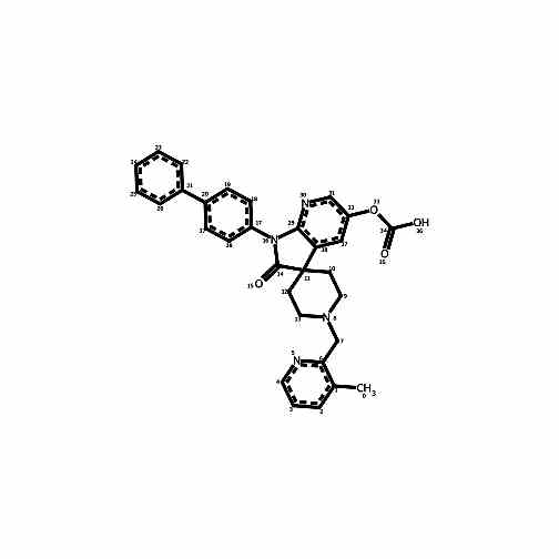 Cc1cccnc1CN1CCC2(CC1)C(=O)N(c1ccc(-c3ccccc3)cc1)c1ncc(OC(=O)O)cc12